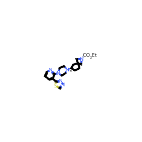 CCOC(=O)N1CC2(CC[C@@H](N3CCN(c4ncccc4-c4nncs4)CC3)C2)C1